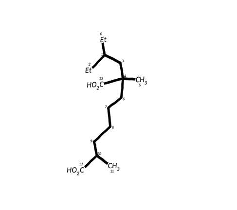 CCC(CC)CC(C)(CCCCC(C)C(=O)O)C(=O)O